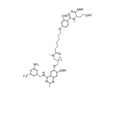 CNC(=O)C(CCC=O)N(C)C(=O)c1ccc(OCCCCCCC(=O)N(C)CC2(COc3cc4c(NCc5cc(N)cc(C(F)(F)F)c5)nc(C)nc4cc3OC)CC2)cc1C=O